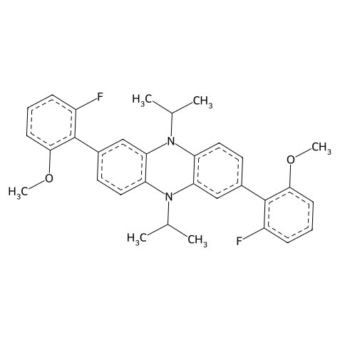 COc1cccc(F)c1-c1ccc2c(c1)N(C(C)C)c1ccc(-c3c(F)cccc3OC)cc1N2C(C)C